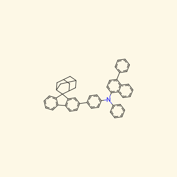 c1ccc(-c2ccc(N(c3ccccc3)c3ccc(-c4ccc5c(c4)C4(c6ccccc6-5)C5CC6CC(C5)CC4C6)cc3)c3ccccc23)cc1